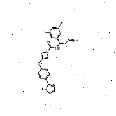 N=CCC(NC(=O)N1CC(Oc2ccc(-c3ncc[nH]3)cc2)C1)c1cc(F)cc(F)c1